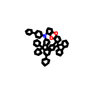 c1ccc(-c2ccc(N(c3ccc4c(c3)C(c3ccccc3)(c3ccccc3)c3cc(-c5ccccc5)ccc3-4)c3cccc4c3Oc3c(ccc5c3-c3ccccc3C53c5ccccc5-c5ccccc53)O4)cc2)cc1